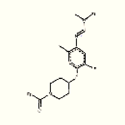 CCN(C)/C=N/c1cc(Br)c(OC2CCN(C(=O)C(C)C)CC2)nc1C